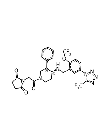 O=C(CN1C(=O)CCC1=O)N1CC[C@H](NCc2cc(-n3nnnc3C(F)(F)F)ccc2OC(F)(F)F)[C@H](c2ccccc2)C1